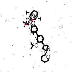 CC(C)Oc1nc(-c2ccc(N(C)C3C[C@H]4CC[C@@H](C3)N4C(=O)OC(C)(C)C)nn2)ccc1-c1cnn(C2CCCCO2)c1